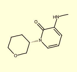 CNc1cccn([C@H]2CCCOC2)c1=O